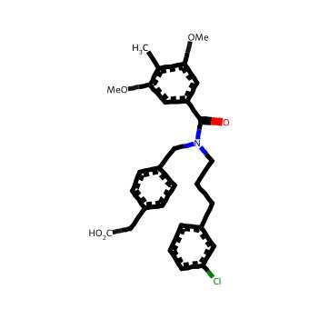 COc1cc(C(=O)N(CCCc2cccc(Cl)c2)Cc2ccc(CC(=O)O)cc2)cc(OC)c1C